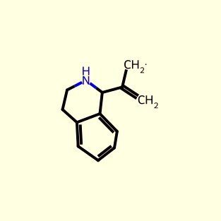 [CH2]C(=C)C1NCCc2ccccc21